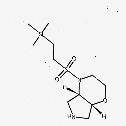 C[Si](C)(C)CCS(=O)(=O)N1CCO[C@@H]2CNC[C@@H]21